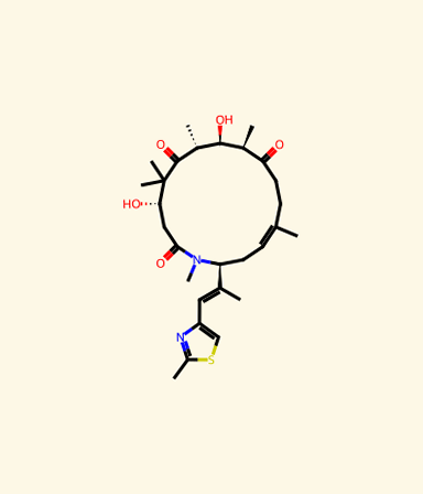 C/C1=C/C[C@@H](/C(C)=C/c2csc(C)n2)N(C)C(=O)C[C@H](O)C(C)(C)C(=O)[C@H](C)[C@@H](O)[C@@H](C)C(=O)CC1